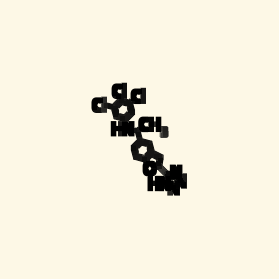 CC(Nc1cc(Cl)c(Cl)c(Cl)c1)c1ccc2oc(-c3nnn[nH]3)cc2c1